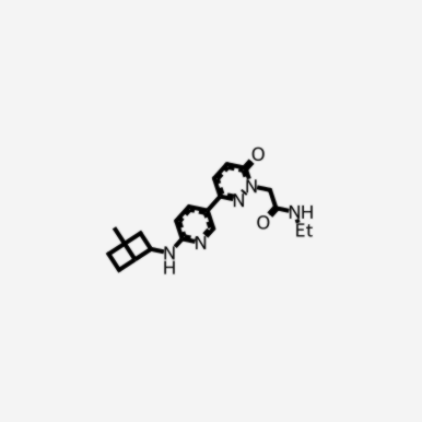 CCNC(=O)Cn1nc(-c2ccc(NC3CC4(C)CCC34)nc2)ccc1=O